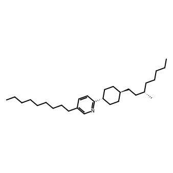 CCCCCCCCCc1ccc([C@H]2CC[C@H](CC[C@@H](C)CCCCC)CC2)nc1